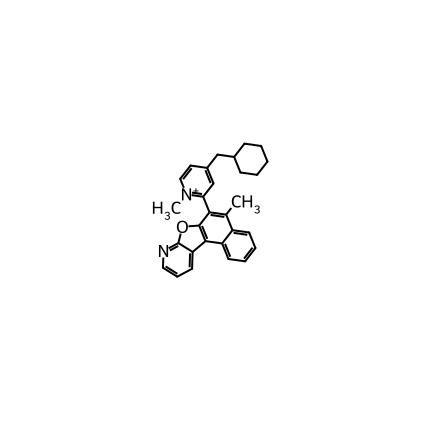 Cc1c(-c2cc(CC3CCCCC3)cc[n+]2C)c2oc3ncccc3c2c2ccccc12